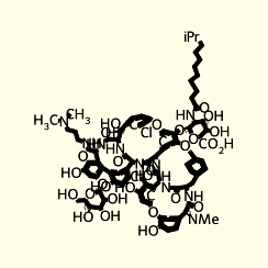 CN[C@H]1C(=O)NC2Cc3ccc(cc3)Oc3cc4cc(c3O[C@@H]3OC(C(=O)O)C(O)[C@H](O)C3NC(=O)CCCCCCCCC(C)C)Oc3ccc(cc3Cl)[C@@H](O)C3NC(=O)C(NC(=O)C4NC(=O)C(NC2=O)c2cc(cc(O)c2Cl)Oc2cc1ccc2O)c1ccc(O)c(c1)-c1c(O[C@H]2OC(CO)[C@@H](O)C(O)C2O)cc(O)cc1C(C(=O)NCCCN(C)C)NC3=O